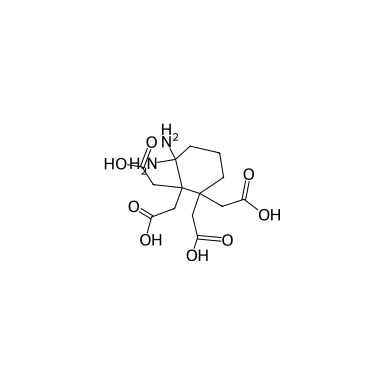 NC1(N)CCCC(CC(=O)O)(CC(=O)O)C1(CC(=O)O)CC(=O)O